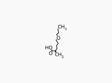 C=C(CCCCOCCCC)C(=O)O